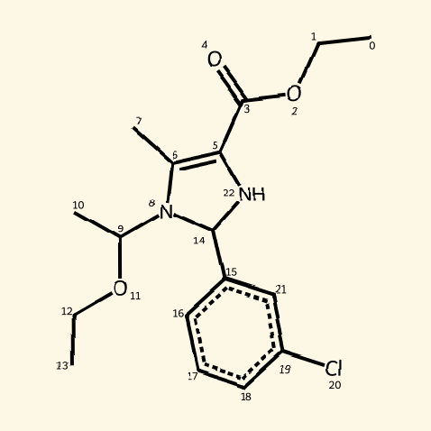 CCOC(=O)C1=C(C)N(C(C)OCC)C(c2cccc(Cl)c2)N1